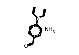 C=CN(C=C)c1ccc(C=O)cc1.N